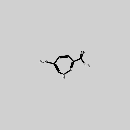 CNC1=CNN=C(C(C)=N)C=C1